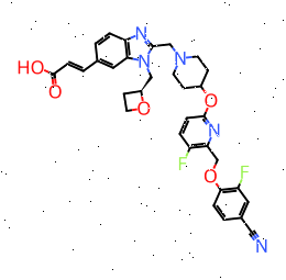 N#Cc1ccc(OCc2nc(OC3CCN(Cc4nc5ccc(/C=C/C(=O)O)cc5n4C[C@@H]4CCO4)CC3)ccc2F)c(F)c1